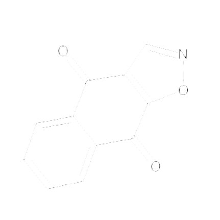 O=C1c2ccccc2C(=O)c2oncc21